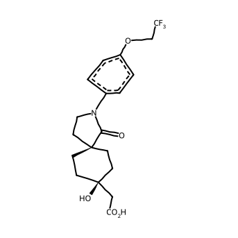 O=C(O)C[C@]1(O)CC[C@]2(CCN(c3ccc(OCC(F)(F)F)cc3)C2=O)CC1